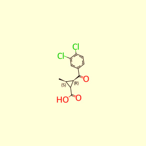 C[C@@H]1C(C(=O)O)[C@@H]1C(=O)c1ccc(Cl)c(Cl)c1